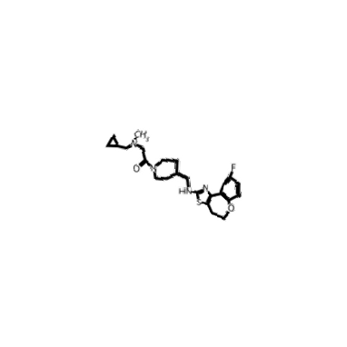 CN(CC(=O)N1CCC(CNc2nc3c(s2)CCOc2ccc(F)cc2-3)CC1)CC1CC1